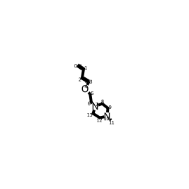 [CH]=C/C=[C]/OCCN1CCN(C)CC1